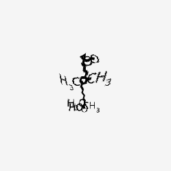 Cc1cc(CCCCC2(OC=O)CC2)c(C)cc1CCCCCCC(C)(C)C(=O)O